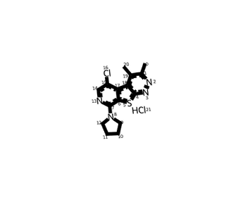 Cc1nnc2sc3c(N4CCCC4)ncc(Cl)c3c2c1C.Cl